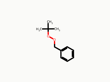 CC(C)(C)OOCc1ccccc1